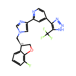 Fc1cccc2c1OC[C@@H]2Cn1cnc(-c2cc(-c3nn[nH]c3C(F)(F)F)ccn2)c1